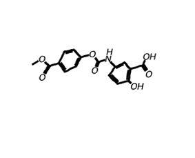 COC(=O)c1ccc(OC(=O)Nc2ccc(O)c(C(=O)O)c2)cc1